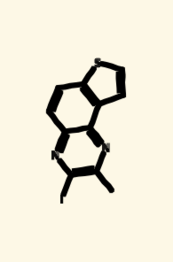 Cc1nc2c(ccc3sccc32)nc1I